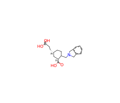 O=C(O)[C@H]1C[C@H](CCB(O)O)CCC1CN1Cc2ccccc2C1